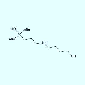 CCCCC(O)(CCCC)CC[CH2][Sn][CH2]CCCO